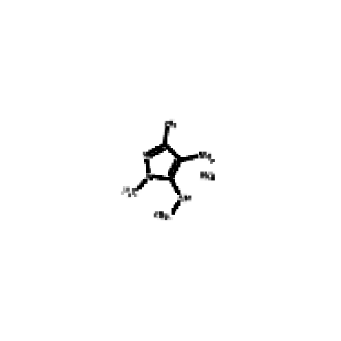 CCCc1nn(C)c(NC=O)c1N.Cl